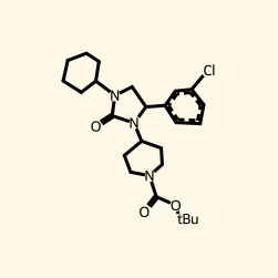 CC(C)(C)OC(=O)N1CCC(N2C(=O)N(C3CCCCC3)CC2c2cccc(Cl)c2)CC1